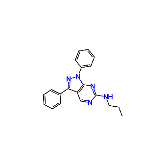 CCCNc1ncc2c(-c3ccccc3)nn(-c3ccccc3)c2n1